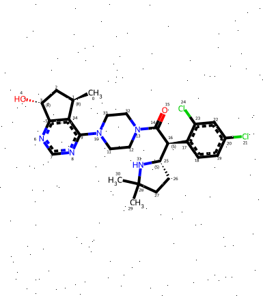 C[C@@H]1C[C@@H](O)c2ncnc(N3CCN(C(=O)[C@@H](c4ccc(Cl)cc4Cl)[C@@H]4CCC(C)(C)N4)CC3)c21